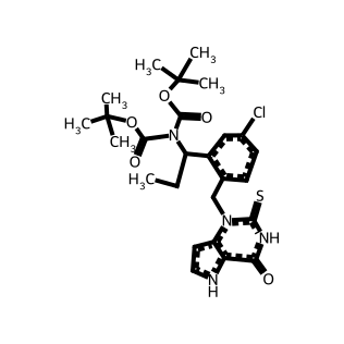 CCC(c1cc(Cl)ccc1Cn1c(=S)[nH]c(=O)c2[nH]ccc21)N(C(=O)OC(C)(C)C)C(=O)OC(C)(C)C